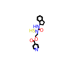 O=C(OCCN(S)C(=O)NC1CCc2ccccc21)c1ccncc1